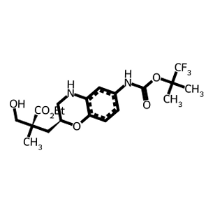 CCOC(=O)[C@@](C)(CO)C[C@H]1CNc2cc(NC(=O)OC(C)(C)C(F)(F)F)ccc2O1